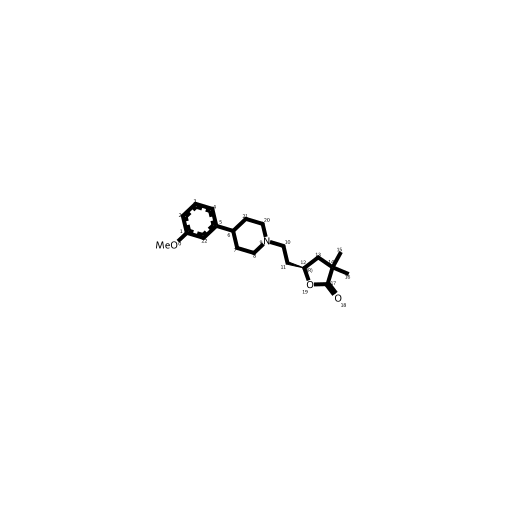 COc1cccc(C2CCN(CC[C@H]3CC(C)(C)C(=O)O3)CC2)c1